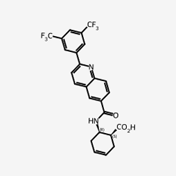 O=C(N[C@@H]1CC=CC[C@@H]1C(=O)O)c1ccc2nc(-c3cc(C(F)(F)F)cc(C(F)(F)F)c3)ccc2c1